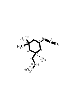 CC1(C)C[C@@H](N=C=O)C[C@@](C)(CNC(=O)O)C1